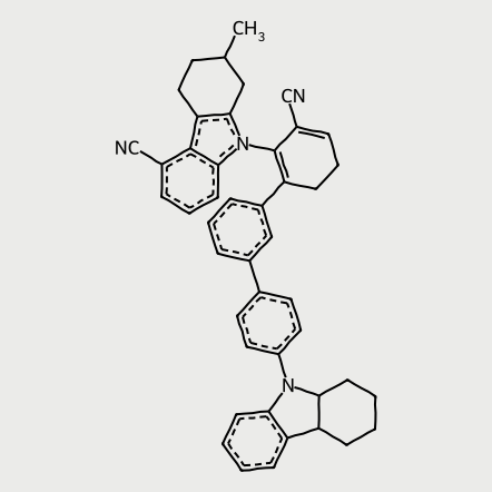 CC1CCc2c(n(C3=C(c4cccc(-c5ccc(N6c7ccccc7C7CCCCC76)cc5)c4)CCC=C3C#N)c3cccc(C#N)c23)C1